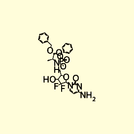 C[C@H](NP(=O)(OC[C@H]1O[C@@H](n2ccc(N)nc2=O)C(F)(F)C1O)Oc1ccccc1)C(=O)OCc1ccccc1